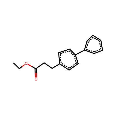 CCOC(=O)CCc1ccc(-c2ccccc2)cc1